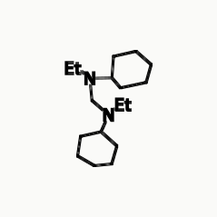 CCN(CN(CC)C1CCCCC1)C1CCCCC1